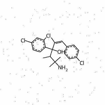 CC(=Cc1ccc(Cl)cc1)C(O)(c1ccc(Cl)cc1Cl)C(C)C(C)(C)N